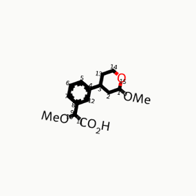 COC1CC(c2cccc(C(OC)C(=O)O)c2)CCO1